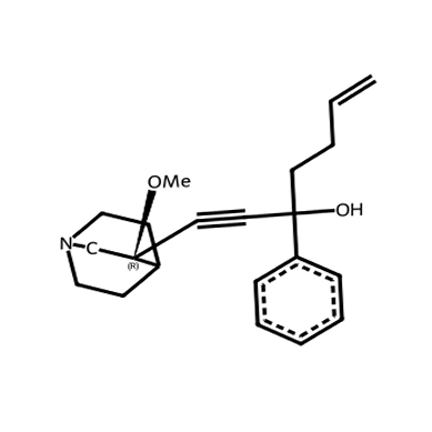 C=CCCC(O)(C#C[C@@]1(OC)CN2CCC1CC2)c1ccccc1